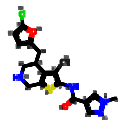 Cn1cc(C(=O)Nc2sc3c(c2C#N)C(Cc2ccc(Cl)o2)CNC3)cn1